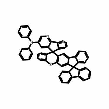 c1ccc(N(c2ccccc2)c2cnc3c(c2)C2(c4ccccc4Sc4cc5c(cc42)-c2ccccc2C52c4ccccc4-c4ccccc42)c2cccnc2-3)cc1